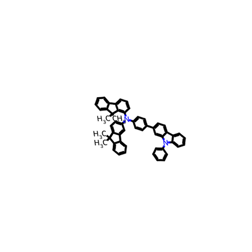 CC1(C)c2ccccc2-c2cc(N(c3ccc(-c4ccc5c6ccccc6n(-c6ccccc6)c5c4)cc3)c3cccc4c3C(C)(C)c3ccccc3-4)ccc21